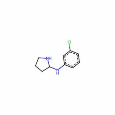 Clc1cccc(NC2CCCN2)c1